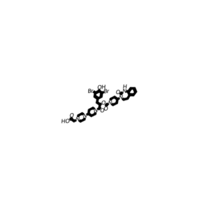 O=C(O)CN1CCN(C2CCN(C(=O)C(Cc3cc(Br)c(O)c(Br)c3)OC(=O)N3CCC(N4CCc5ccccc5NC4=O)CC3)CC2)CC1